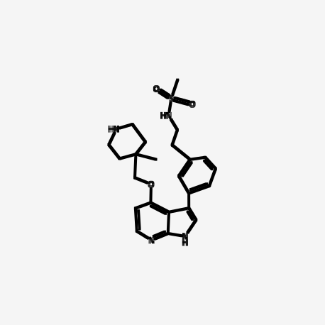 CC1(COc2ccnc3[nH]cc(-c4cccc(CCNS(C)(=O)=O)c4)c23)CCNCC1